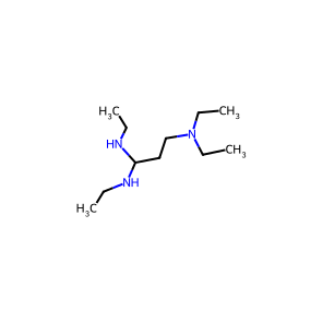 CCNC(CCN(CC)CC)NCC